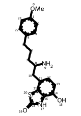 COc1ccc(CCCC(N)Cc2ccc(O)c3[nH]c(=O)sc23)cc1